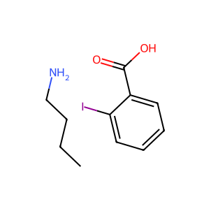 CCCCN.O=C(O)c1ccccc1I